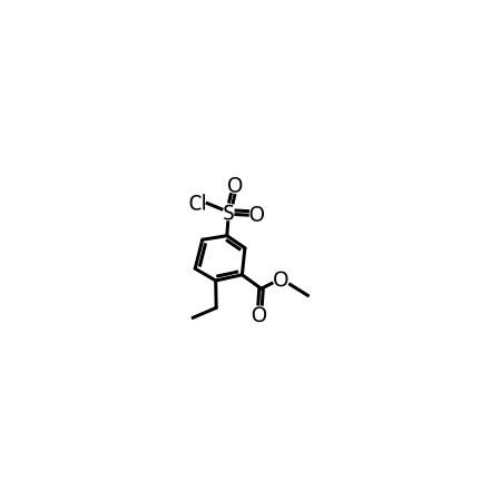 CCc1ccc(S(=O)(=O)Cl)cc1C(=O)OC